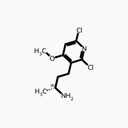 COc1cc(Cl)nc(Cl)c1CC[C@@H](C)N